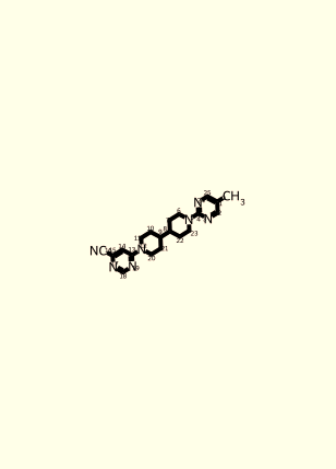 Cc1cnc(N2CCC(C3CCN(c4cc(C#N)ncn4)CC3)CC2)nc1